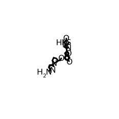 COc1cc(OCC2CCCN(c3ccc(N)nc3)C2)c2cc(-c3cn4c(n3)SC(OC)N4)oc2c1